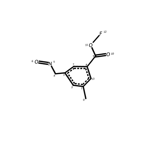 Cc1cc(CN=O)cc(C(=O)OF)c1